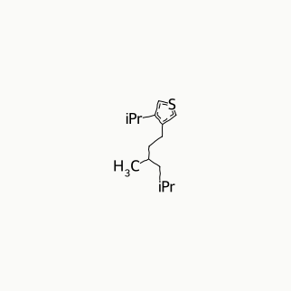 CC(C)CC(C)CCc1cscc1C(C)C